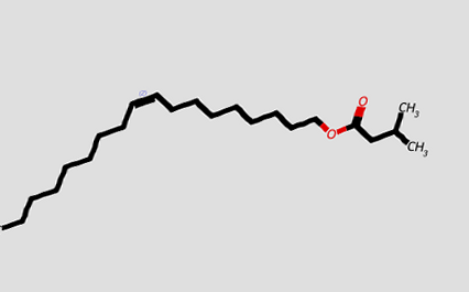 CCCCCCCC/C=C\CCCCCCCCOC(=O)CC(C)C